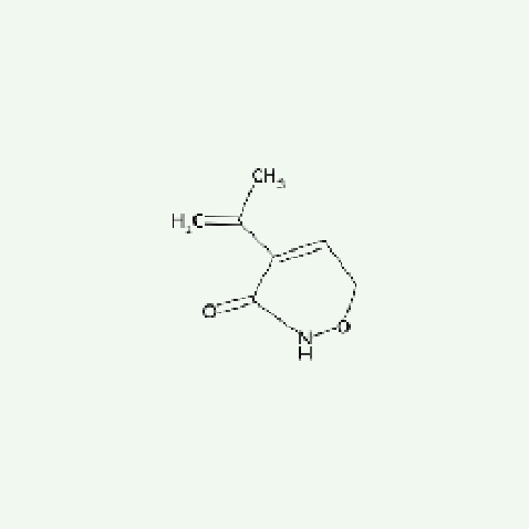 C=C(C)C1=CCONC1=O